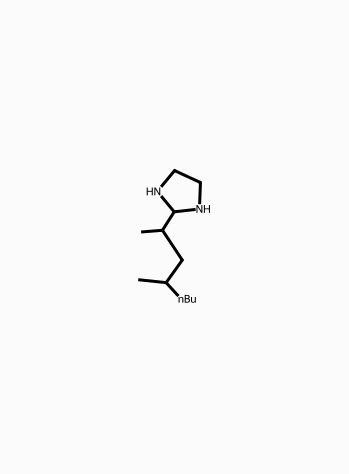 CCCCC(C)CC(C)C1NCCN1